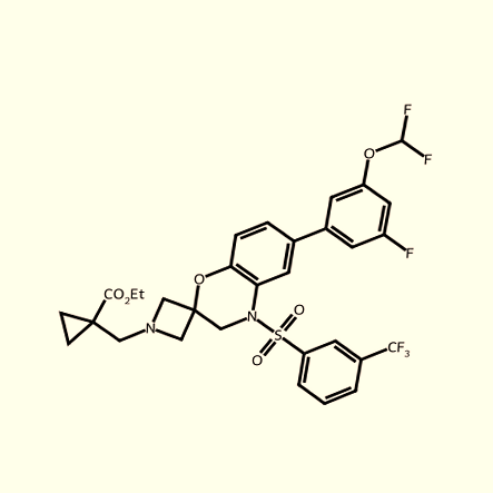 CCOC(=O)C1(CN2CC3(C2)CN(S(=O)(=O)c2cccc(C(F)(F)F)c2)c2cc(-c4cc(F)cc(OC(F)F)c4)ccc2O3)CC1